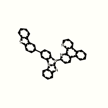 c1ccc2c(c1)nc1n(-c3ccc4c5ccccc5c5cccnc5c4n3)c3ccc(-c4ccc5sc6ccccc6c5c4)cc3n21